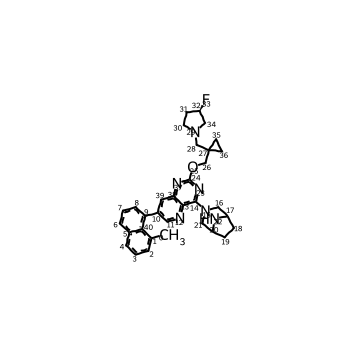 Cc1cccc2cccc(-c3cnc4c(N5CC6CCC(C5)N6)nc(OCC5(CN6CC[C@@H](F)C6)CC5)nc4c3)c12